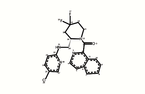 O=C(c1nccc2ccccc12)N1CCC(F)(F)C[C@H]1CNc1ccc(Cl)cn1